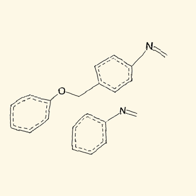 C=Nc1ccc(COc2ccccc2)cc1.C=Nc1ccccc1